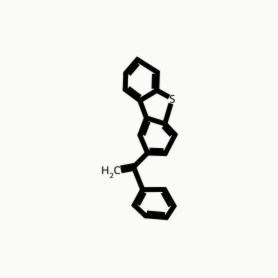 C=C(c1ccccc1)c1ccc2sc3ccccc3c2c1